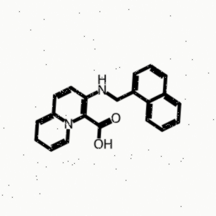 O=C(O)C1=C(NCc2cccc3ccccc23)C=CC2=CCC=CN21